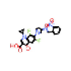 O=C(O)c1cn(C2CC2)c2c(F)c(N3CCC(N=Cc4ccccc4[N+](=O)[O-])C3)c(F)cc2c1=O